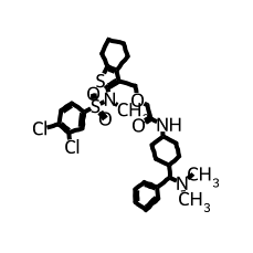 CN(C)C(c1ccccc1)C1CCC(NC(=O)COCc2c(N(C)S(=O)(=O)c3ccc(Cl)c(Cl)c3)sc3c2CCCC3)CC1